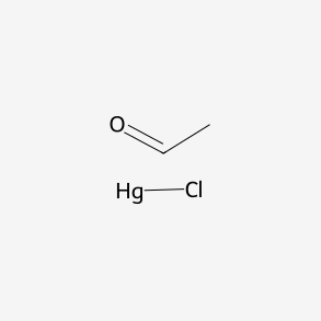 CC=O.[Cl][Hg]